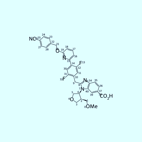 COC[C@H]1COC[C@H]1n1c(Cc2cc(F)c(-c3cccc(OCc4ccc(C#N)cc4)n3)cc2F)nc2ccc(C(=O)O)cc21